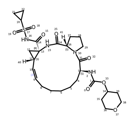 O=C(N[C@H]1CCCCC/C=C\[C@@H]2C[C@@]2(C(=O)NS(=O)(=O)C2CC2)NC(=O)[C@@H]2CCCN2C1=O)OC1CCOCC1